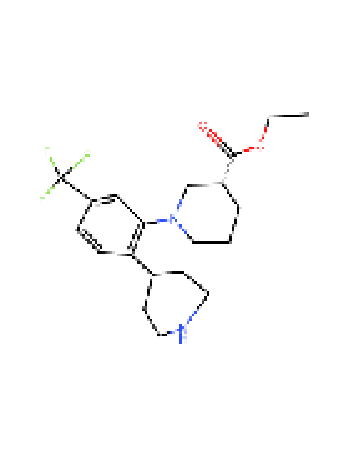 CCOC(=O)[C@@H]1CCCN(c2cc(C(F)(F)F)ccc2C2CCNCC2)C1